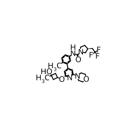 Cc1ccc(NC(=O)N2CC[C@@H](CC(F)(F)F)C2)cc1-c1cc(OC2CC(C)(O)C2)nc(N2CCOCC2)c1